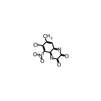 Cc1cc2c(c([N+](=O)[O-])c1Cl)=NC(=O)C(=O)N=2